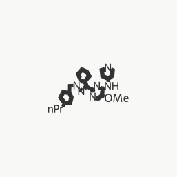 CCCc1ccc(Cn2nc(-c3ncc(OC)c(Nc4ccncc4)n3)c3ccccc32)cc1